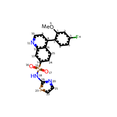 COc1cc(F)ccc1-c1ccnc2cc(S(=O)(=O)Nc3nccs3)ccc12